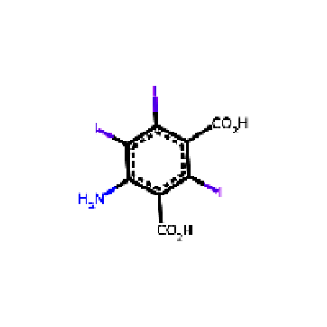 Nc1c(I)c(I)c(C(=O)O)c(I)c1C(=O)O